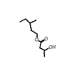 CCC(C)CCOC(=O)CC(C)O